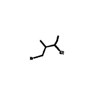 CCC(C)C(C)CBr